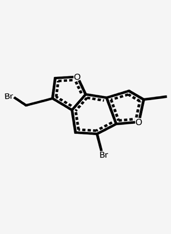 Cc1cc2c(o1)c(Br)cc1c(CBr)coc12